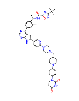 Cc1cc(-c2ncnc3[nH]c(-c4ccc(N5CCN(CC6CCN(c7ccc(N8CCC(=O)NC8=O)cc7)CC6)C[C@@H]5C)nc4)cc23)ccc1[C@@H](C)NC(=O)c1nc(C(C)(C)C)no1